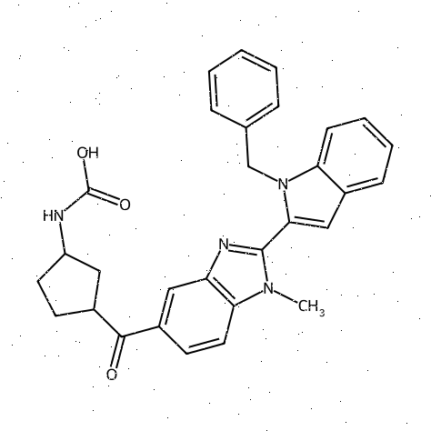 Cn1c(-c2cc3ccccc3n2Cc2ccccc2)nc2cc(C(=O)C3CCC(NC(=O)O)C3)ccc21